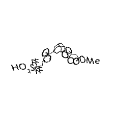 COC(=O)CC1OC2(OC1=O)C1CC3CC2CC(C(=O)OCCC(F)(F)C(F)(F)S(=O)(=O)O)(C3)C1